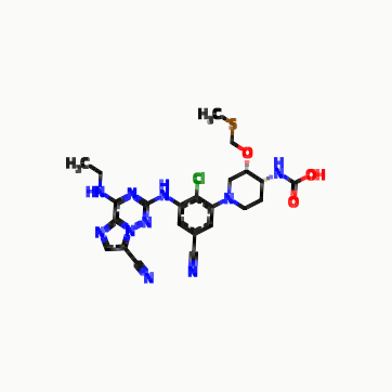 CCNc1nc(Nc2cc(C#N)cc(N3CC[C@@H](NC(=O)O)[C@@H](OCSC)C3)c2Cl)nn2c(C#N)cnc12